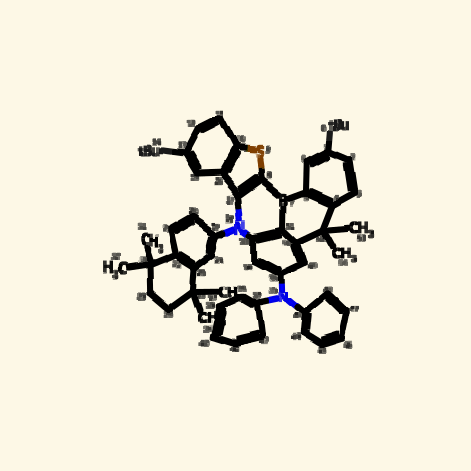 CC(C)(C)c1ccc2c(c1)B1c3sc4ccc(C(C)(C)C)cc4c3N(c3ccc4c(c3)C(C)(C)CCC4(C)C)c3cc(N(c4ccccc4)c4ccccc4)cc(c31)C2(C)C